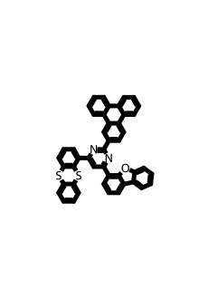 c1ccc2c(c1)Sc1cccc(-c3cc(-c4cccc5c4oc4ccccc45)nc(-c4ccc5c6ccccc6c6ccccc6c5c4)n3)c1S2